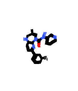 C[C@@H]1CNc2ccc(-c3cccc(C(F)(F)F)c3)nc2N(C(=O)Nc2cccnc2)C1